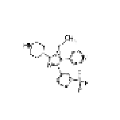 CCCn1c(C2CCNCC2)nc(-c2cccc(C(F)(F)F)c2)c1-c1ccncc1